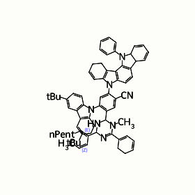 C/C=C\C(=C/CCCCC)C1N=C(C2=CC=CCC2)N(C)C(c2cc(C#N)c(-n3c4c(c5c6c(ccc53)C3C=CC=CC3N6c3ccccc3)CCC=C4)cc2-n2c3c(c4cc(C(C)(C)C)ccc42)C=C(C(C)(C)C)CC3)N1